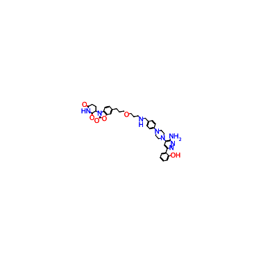 Nc1nnc(-c2ccccc2O)cc1N1CCN(c2ccc(CNCCCOCCCc3ccc4c(c3)oc(=O)n4C3CCC(=O)NC3=O)cc2)CC1